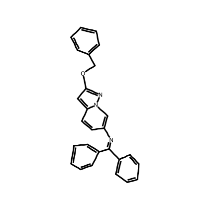 c1ccc(COc2cc3ccc(N=C(c4ccccc4)c4ccccc4)cn3n2)cc1